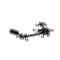 CCCC[C@H](NC(=O)[C@@H](NC(=O)[C@H](CCCCNC(=N)N)NC(=O)[C@H](CC(N)=O)NC(=O)[C@H](CO)NC(=O)CCOCCOCCOCCOCCNC(=O)CCCC(O)(O)NC(=O)CCC(F)(F)C(F)(F)C(F)(F)C(F)(F)C(F)(F)C(F)(F)C(F)(F)F)C(C)O)C(C)=O